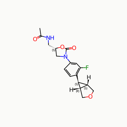 CC(=O)NC[C@H]1CN(c2ccc([C@H]3[C@@H]4COC[C@@H]43)c(F)c2)C(=O)O1